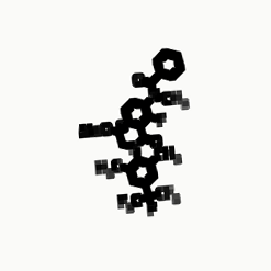 COC(=O)CN(C(=O)c1cccc(N(C)C(=O)c2ccccc2)c1F)c1c(C)cc(C(F)(C(F)(F)F)C(F)(F)F)cc1C